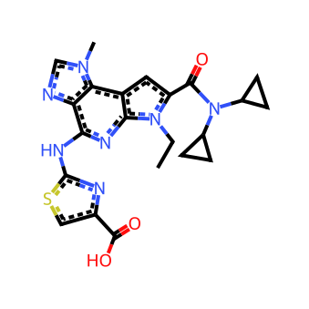 CCn1c(C(=O)N(C2CC2)C2CC2)cc2c3c(ncn3C)c(Nc3nc(C(=O)O)cs3)nc21